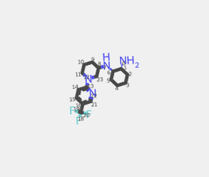 N[C@@H]1CCCC[C@H]1NC1CCCN(c2ccc(C(F)(F)F)cn2)C1